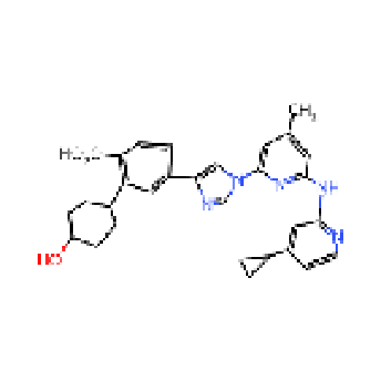 Cc1cc(Nc2cc(C3CC3)ccn2)nc(-n2cnc(-c3ccc(C(=O)O)c(C4CCC(O)CC4)c3)c2)c1